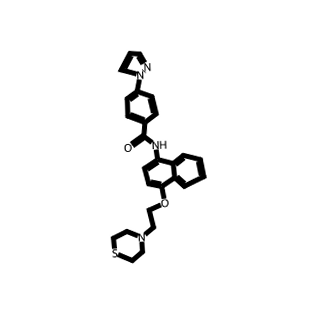 O=C(Nc1ccc(OCCN2CCSCC2)c2ccccc12)c1ccc(-n2cccn2)cc1